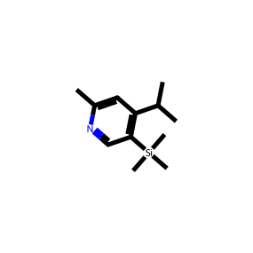 Cc1cc(C(C)C)c([Si](C)(C)C)cn1